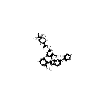 Cc1nc(NC(=O)C2CCC(C)(C(=O)O)CC2)ccc1-n1c(-c2cccnc2N)nc2ccc(-c3ccccc3)nc21